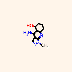 Cn1ncc2c(N)c3c(nc21)CCCC3O